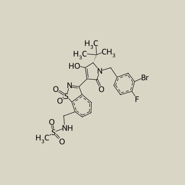 CC(C)(C)[C@H]1C(O)=C(C2=NS(=O)(=O)c3c(CNS(C)(=O)=O)cccc32)C(=O)N1Cc1ccc(F)c(Br)c1